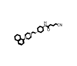 N#CCCCC(=O)N[C@H]1CC[C@H](CCN2CCN(c3cccc4c3CCCC4)CC2)CC1